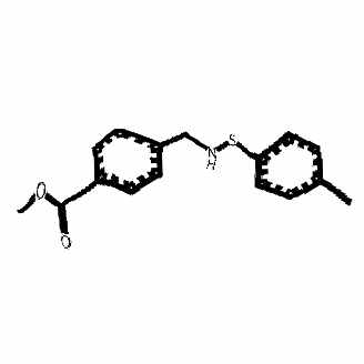 COC(=O)c1ccc(CNSc2ccc(C)cc2)cc1